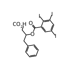 O=C(O)CC(Cc1ccccc1)OC(=O)c1cc(I)cc(I)c1I